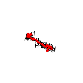 Cc1sc2c(c1C)C(c1ccc(Cl)cc1)=N[C@@H](CC(=O)NCCN1CCN(CCCCC(=O)NCCOCCOCCOCCC(=O)NCCOCCN[C@@H](Cc3ccccc3)C(=O)N3C/C(=C\c4ccc(Cl)c(Cl)c4)C(=O)/C(=C/c4ccc(Cl)c(Cl)c4)C3)CC1)c1nnc(C)n1-2